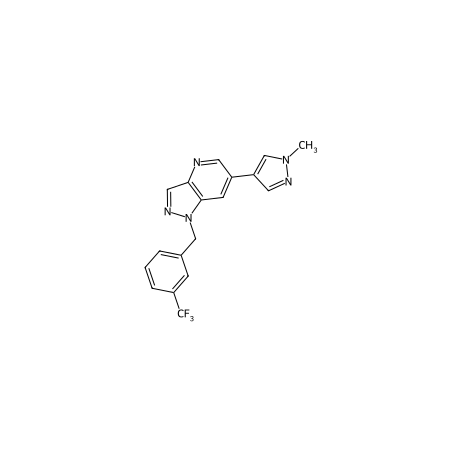 Cn1cc(-c2cnc3cnn(Cc4cccc(C(F)(F)F)c4)c3c2)cn1